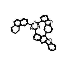 C1=Cc2ccc3ccc(-c4nc(-c5ccccc5)nc(-c5cccc6oc7ccc(-c8cccc9c8oc8ccccc89)cc7c56)n4)cc3c2CC1